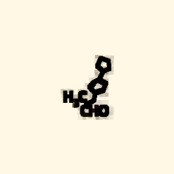 CC(C=O)Cc1ccc(C2CCCC2)cc1